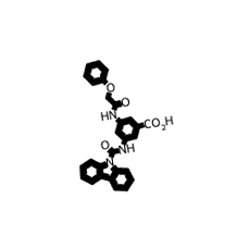 O=C(COc1ccccc1)Nc1cc(NC(=O)n2c3ccccc3c3ccccc32)cc(C(=O)O)c1